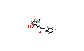 CC[C@H]1C(=O)C[C@@H](O)[C@@H]1/C=C/[C@@H](O)CCc1ccccc1